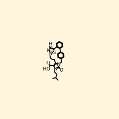 CCCc1c(C(=O)O)n(CCC(C)C)c(=O)n1Cc1ccc(-c2ccccc2-c2nnn[nH]2)cc1